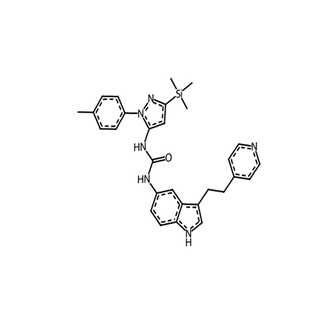 Cc1ccc(-n2nc([Si](C)(C)C)cc2NC(=O)Nc2ccc3[nH]cc(CCc4ccncc4)c3c2)cc1